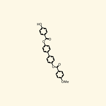 COc1ccc(C(=O)Oc2ccc(-c3ccc(OC(=O)c4ccc(O)cc4)cc3)cc2)cc1